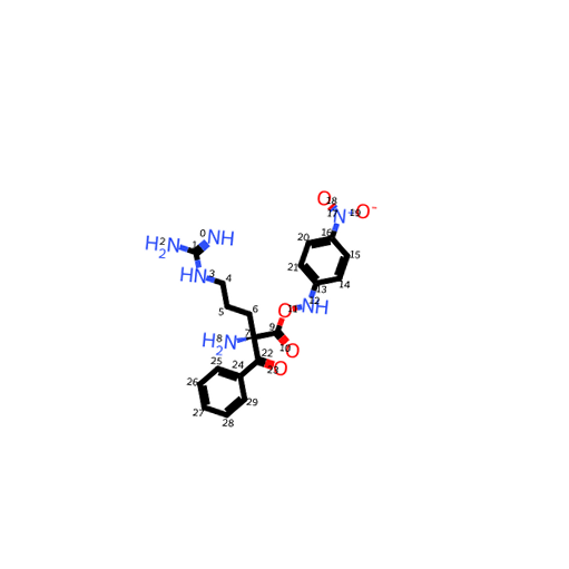 N=C(N)NCCC[C@](N)(C(=O)ONc1ccc([N+](=O)[O-])cc1)C(=O)c1ccccc1